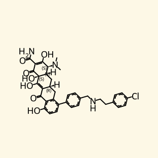 CN(C)[C@@H]1C(O)=C(C(N)=O)C(=O)[C@@]2(O)C(O)=C3C(=O)c4c(O)ccc(-c5ccc(CNCCc6ccc(Cl)cc6)cc5)c4C[C@H]3C[C@@H]12